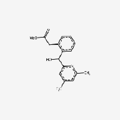 COC(=O)Cc1ccccc1C(O)c1cc(C(F)(F)F)cc(C)n1